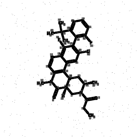 CCC(=O)N1C[C@@H]2C(=O)N(C)c3cnc4c(F)c(-c5c(F)cccc5C(C)(C)C)c(Cl)cc4c3N2C[C@H]1C